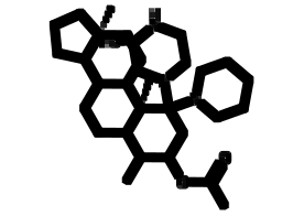 CC(=O)OC1CC(N2CCCCC2)(N2CCN[C@@H](O)C2)[C@@]2(C)C(CCC3C4CCC[C@@]4(C)CCC32)C1C